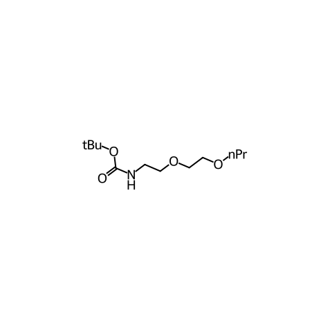 CCCOCCOCCNC(=O)OC(C)(C)C